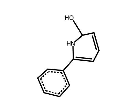 OC1C=CC=C(c2ccccc2)N1